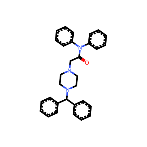 O=C(CN1CCN(C(c2ccccc2)c2ccccc2)CC1)N(c1ccccc1)c1ccccc1